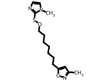 Cc1cc(CCCCCCCOSc2nccn2C)on1